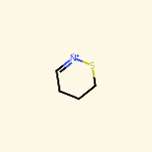 C1=[N+]SCCC1